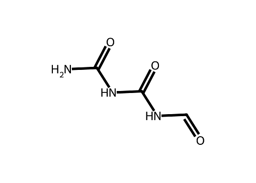 NC(=O)NC(=O)NC=O